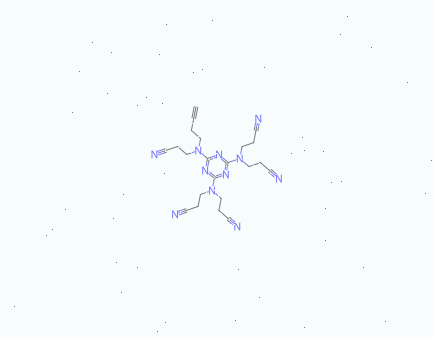 C#CCCN(CCC#N)c1nc(N(CCC#N)CCC#N)nc(N(CCC#N)CCC#N)n1